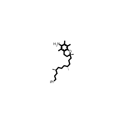 Cc1c(C)c2c(c(C)c1N)CC[C@@](C)(CCC[C@H](C)CCC[C@H](C)CCCC(C)C)O2